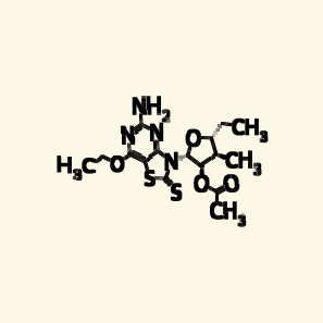 CCOc1nc(N)nc2c1sc(=S)n2[C@@H]1O[C@H](CC)[C@@H](C)[C@H]1OC(C)=O